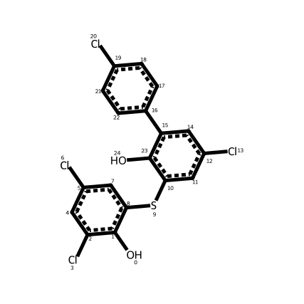 Oc1c(Cl)cc(Cl)cc1Sc1cc(Cl)cc(-c2ccc(Cl)cc2)c1O